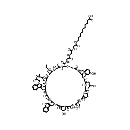 CCCC[C@H]1C(=O)N(C)[C@@H](CCCC)C(=O)N[C@@H](C)C(=O)N[C@H](C(=O)NCC(=O)NCC(=O)NCC(=O)NCCCCCCCCCCC(=O)O)CSCC(=O)N[C@@H](Cc2ccc(O)cc2)C(=O)N(C)[C@@H](C)C(=O)N[C@@H](CC(N)=O)C(=O)N2CCC[C@H]2C(=O)N[C@@H](CN)C(=O)NC(C)C(=O)N2C[C@H](O)C[C@@H]2C(=O)N[C@@H](Cc2c[nH]c3ccccc23)C(=O)N[C@@H](C)C(=O)N[C@@H](Cc2cn(CC(=O)O)c3ccccc23)C(=O)N1C